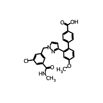 CNC(=O)c1cc(Cl)cc(Cn2ccc(-c3cc(OC)ccc3-c3ccc(C(=O)O)cc3)n2)c1